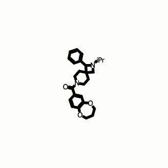 CC(C)N1CC2(CCN(C(=O)c3ccc4c(c3)OCCCO4)CC2)C1c1ccccc1